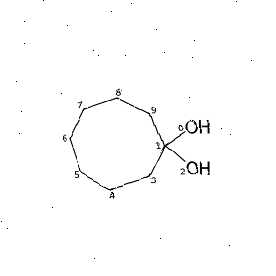 OC1(O)CCCCCCC1